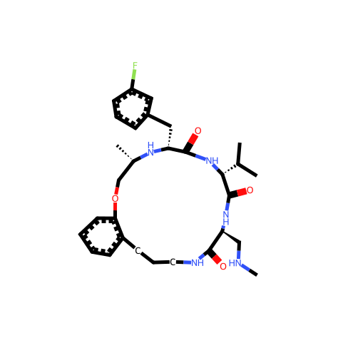 CNC[C@@H]1NC(=O)[C@@H](C(C)C)NC(=O)[C@@H](Cc2cccc(F)c2)N[C@@H](C)COc2ccccc2CCCNC1=O